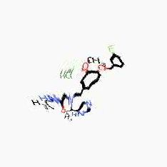 CNC(=O)CN(CCc1ccc(OCc2cccc(F)c2)c(OC)c1)C(C)c1cnc[nH]1.Cl